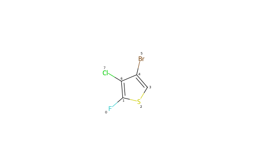 Fc1scc(Br)c1Cl